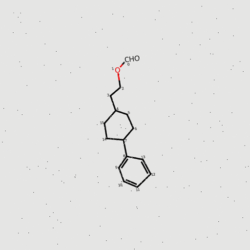 O=COCCC1CCC(c2c[c]ccc2)CC1